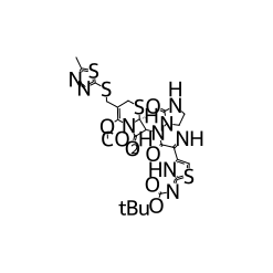 Cc1nnc(SCC2=C(OC(=O)O)N3C(=O)C(N(C(=O)C(=N)c4csc(=NC(=O)OC(C)(C)C)[nH]4)N4CCNC4=O)[C@@H]3SC2)s1